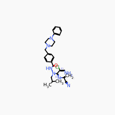 C=C(C#N)/N=C(\C(Cl)=C/N)N(CC(C)C)NC(=O)c1ccc(CN2CCN(c3ccccc3)CC2)cc1